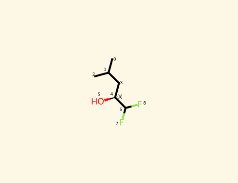 CC(C)C[C@H](O)C(F)F